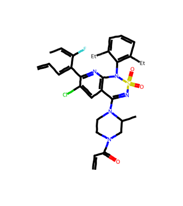 C=C/C=C(\C(F)=C/C)c1nc2c(cc1Cl)C(N1CCN(C(=O)C=C)CC1C)=NS(=O)(=O)N2c1c(CC)cccc1CC